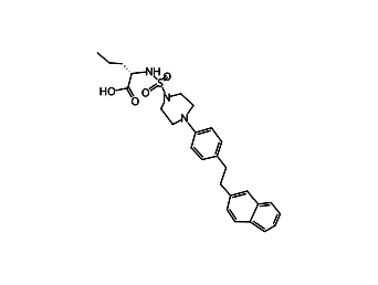 CCC[C@H](NS(=O)(=O)N1CCN(c2ccc(CCc3ccc4ccccc4c3)cc2)CC1)C(=O)O